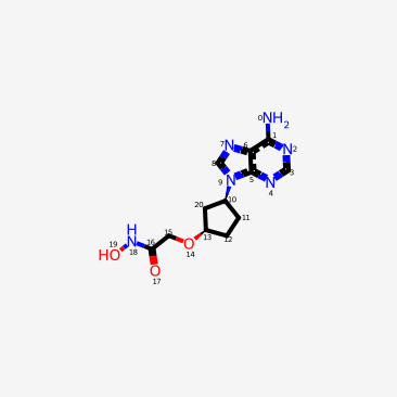 Nc1ncnc2c1ncn2[C@H]1CC[C@@H](OCC(=O)NO)C1